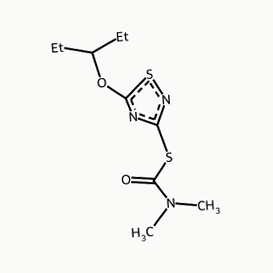 CCC(CC)Oc1nc(SC(=O)N(C)C)ns1